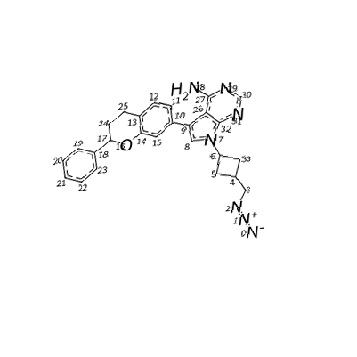 [N-]=[N+]=NCC1CC(n2cc(-c3ccc4c(c3)OC(c3ccccc3)CC4)c3c(N)ncnc32)C1